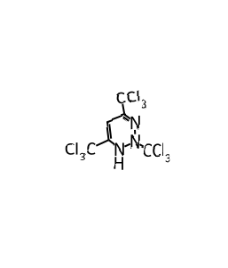 ClC(Cl)(Cl)C1=CC(C(Cl)(Cl)Cl)=NN(C(Cl)(Cl)Cl)N1